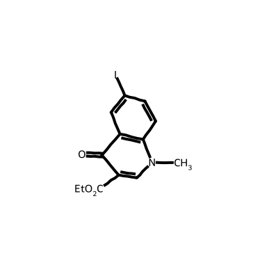 CCOC(=O)c1cn(C)c2ccc(I)cc2c1=O